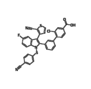 N#Cc1ccc(Sn2c(-c3cccc(-c4ccc(C(=O)O)cc4Cl)c3)c(-c3ccsc3C#N)c3cc(F)ccc32)cc1